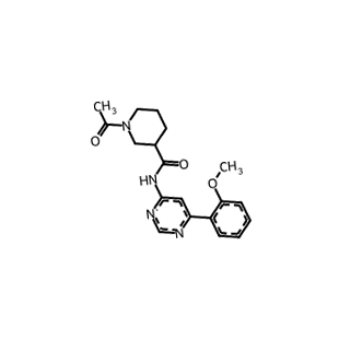 COc1ccccc1-c1cc(NC(=O)C2CCCN(C(C)=O)C2)ncn1